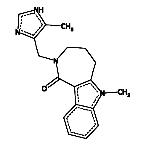 Cc1[nH]cnc1CN1CCCc2c(c3ccccc3n2C)C1=O